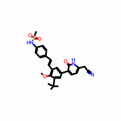 COc1c(C=Cc2ccc(NS(C)(=O)=O)cc2)cc(-c2ccc(CC#N)[nH]c2=O)cc1C(C)(C)C